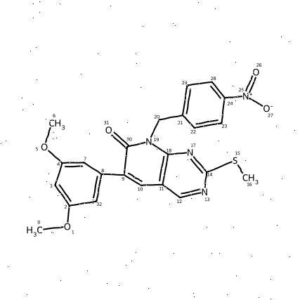 COc1cc(OC)cc(-c2cc3cnc(SC)nc3n(Cc3ccc([N+](=O)[O-])cc3)c2=O)c1